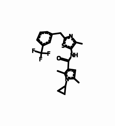 Cc1nc(Cc2cccc(C(F)(F)F)c2)sc1NC(=O)c1cc(C)n(C2CC2)c1C